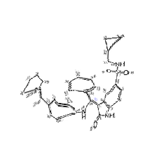 O=C1Nc2ccc(S(=O)(=O)NCC3CC3)cc2/C1=C(/Nc1ccc(CN2CCCC2)cc1)c1ccccc1